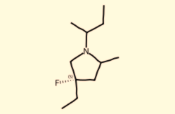 CCC(C)N1C[C@](F)(CC)CC1C